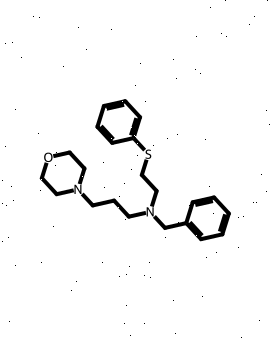 c1ccc(CN(CCCN2CCOCC2)CCSc2ccccc2)cc1